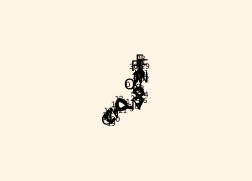 O=C(N1CCC2(CCN(Cc3cccc(N4CCOCC4)c3)C2)C1)n1cc(C(F)(F)F)cn1